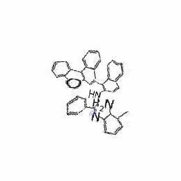 CC1C=CC=C(/N=C(\CNc2ccc3ccccc3c2-c2cc3oc4ccccc4c3c3ccccc23)c2ccccc2)C1N